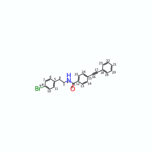 O=C(NCCc1ccc(Br)cc1)c1ccc(C#Cc2ccccc2)cc1